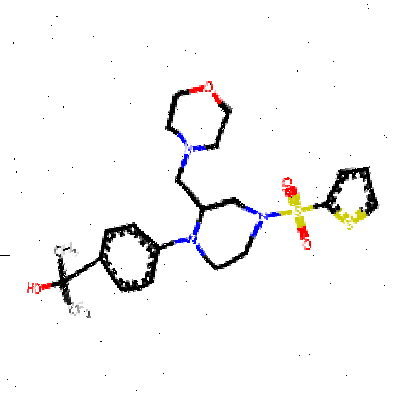 CC(O)(c1ccc(N2CCN(S(=O)(=O)c3cccs3)CC2CN2CCOCC2)cc1)C(F)(F)F